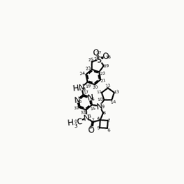 CN1C(=O)C2(CCC2)CN(C2CCCC2)c2nc(Nc3ccc4c(c3)CS(=O)(=O)C4)ncc21